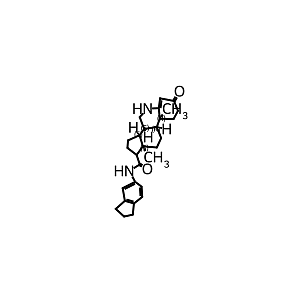 C[C@]12CCC(=O)C=C1NC[C@@H]1[C@H]2CC[C@]2(C)C(C(=O)Nc3ccc4c(c3)CCC4)CC[C@@H]12